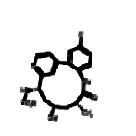 C[C@@H]1CC(O)C[C@H](NC(=O)O)c2cc(ccn2)-c2cc(F)ccc2NC1=O